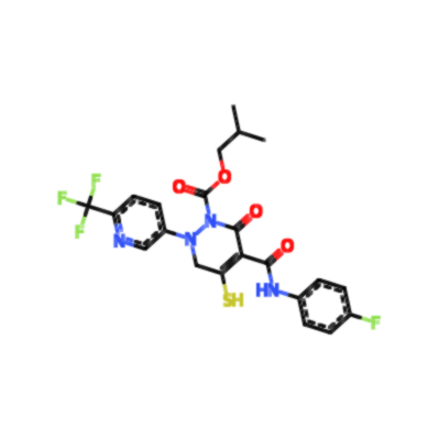 CC(C)COC(=O)N1C(=O)C(C(=O)Nc2ccc(F)cc2)=C(S)CN1c1ccc(C(F)(F)F)nc1